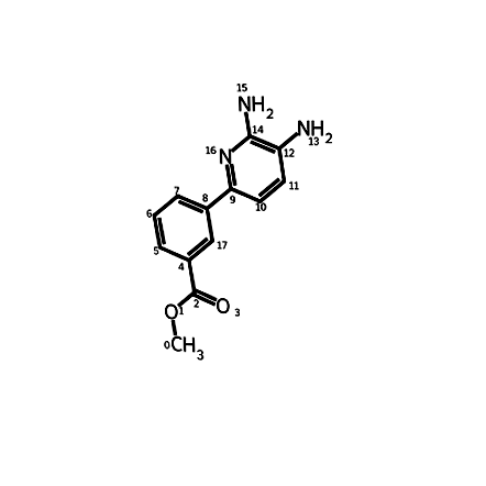 COC(=O)c1cccc(-c2ccc(N)c(N)n2)c1